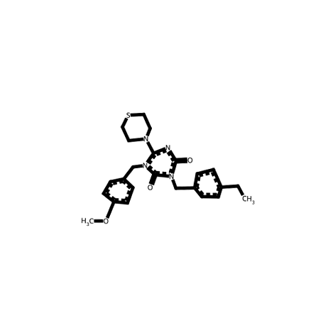 CCc1ccc(Cn2c(=O)nc(N3CCSCC3)n(Cc3ccc(OC)cc3)c2=O)cc1